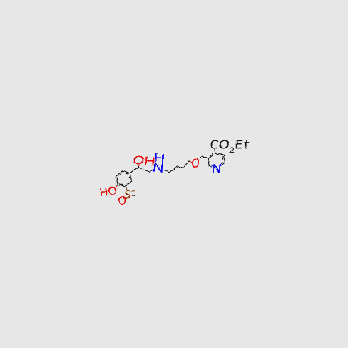 CCOC(=O)c1ccncc1COCCCCNCC(O)c1ccc(O)c([S+](C)[O-])c1